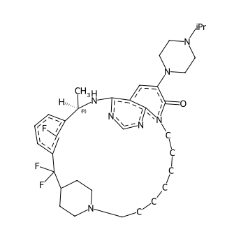 CC(C)N1CCN(c2cc3c4ncnc3n(c2=O)CCCCCCCN2CCC(CC2)C(F)(F)c2cccc(c2F)[C@@H](C)N4)CC1